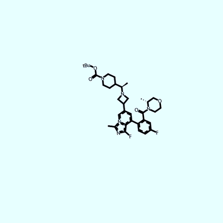 Cc1nc(F)c2c(-c3ccc(F)cc3C(=O)N3CCOC[C@H]3C)cc(C3CN([C@H](C)C4CCN(C(=O)OC(C)(C)C)CC4)C3)cn12